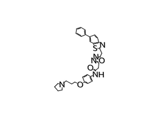 O=C(Cc1nnc(Cc2nc3ccc(-c4ccccc4)cc3s2)o1)Nc1ccc(OCCCN2CCCC2)cc1